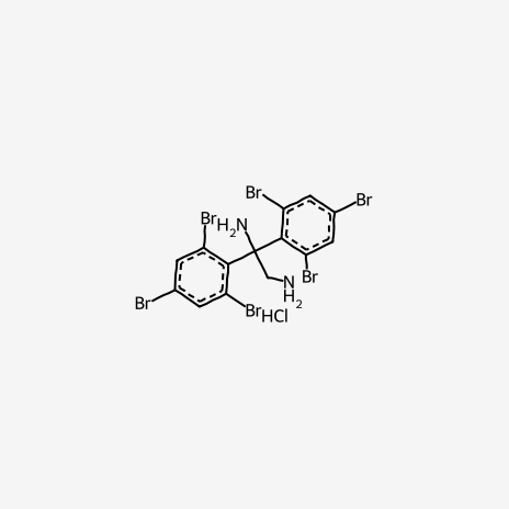 Cl.NCC(N)(c1c(Br)cc(Br)cc1Br)c1c(Br)cc(Br)cc1Br